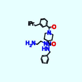 CC(C)Cc1cccc(C(=O)N2CCC(NCCN)(C(=O)NCc3ccccc3)CC2)c1